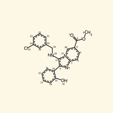 COC(=O)c1ccc2nc(-c3ccccc3O)c(NCc3cccc(Cl)c3)n2c1